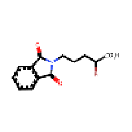 O=C(O)C(Br)CCCN1C(=O)c2ccccc2C1=O